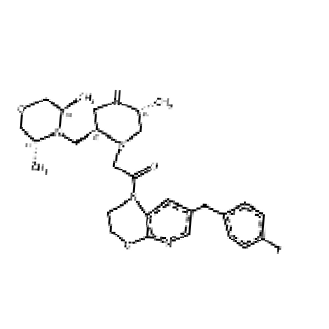 C[C@@H]1CN(CC(=O)N2CCOc3ncc(Cc4ccc(F)cc4)cc32)[C@@H](CN2[C@H](C)COC[C@H]2C)CN1